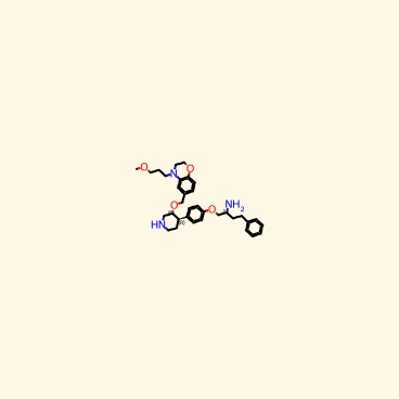 COCCCN1CCOc2ccc(CO[C@H]3CNCC[C@@H]3c3ccc(OC[C@@H](N)CCc4ccccc4)cc3)cc21